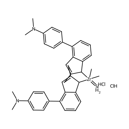 CC1=Cc2c(-c3ccc(N(C)C)cc3)cccc2[CH]1[Zr]([CH3])([CH3])(=[SiH2])[CH]1C(C)=Cc2c(-c3ccc(N(C)C)cc3)cccc21.Cl.Cl